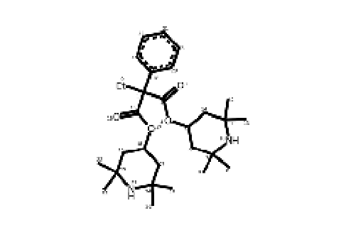 CCC(C(=O)OC1CC(C)(C)NC(C)(C)C1)(C(=O)OC1CC(C)(C)NC(C)(C)C1)c1ccccc1